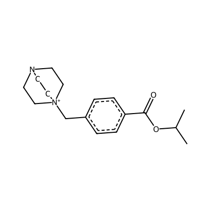 CC(C)OC(=O)c1ccc(C[N+]23CCN(CC2)CC3)cc1